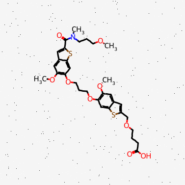 COCCCN(C)C(=O)c1cc2cc(OC)c(OCCCOc3cc4sc(COCCCC(=O)O)cc4cc3OC)cc2s1